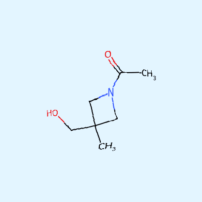 CC(=O)N1CC(C)(CO)C1